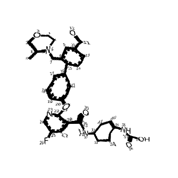 CC1COCCN1Cc1cc(C=O)ccc1-c1cccc(Oc2ncc(F)cc2C(=O)NC2CCC(NC(=O)O)CC2)c1